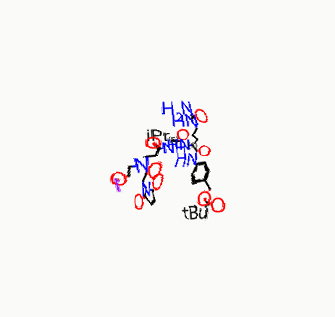 CC(C)[C@H](NC(=O)CCN(CCOI)C(=O)CN1C(=O)C=CC1=O)C(=O)N[C@@H](CCCNC(N)=O)C(=O)Nc1ccc(COC(=O)C(C)(C)C)cc1